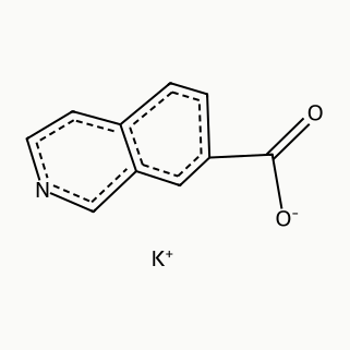 O=C([O-])c1ccc2ccncc2c1.[K+]